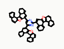 c1ccc2c(c1)ccc1oc3cc(-c4nc(-c5cc6ccccc6c6c5oc5ccc7ccccc7c56)cc(-c5cc6ccccc6c6c5oc5ccc7ccccc7c56)n4)c4ccccc4c3c12